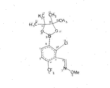 CO/N=C/c1c(C(F)(F)F)ccc(B2OC(C)(C)C(C)(C)O2)c1Cl